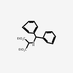 CCOC(=O)C(NC(c1ccccc1)c1ccccc1)C(=O)OCC